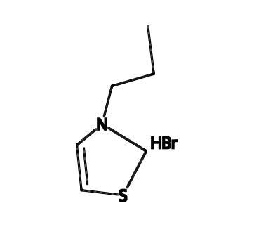 Br.CCCN1C=CSC1